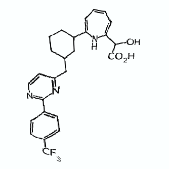 O=C(O)C(O)C1=CC=CC=C(C2CCCC(Cc3ccnc(-c4ccc(C(F)(F)F)cc4)n3)C2)N1